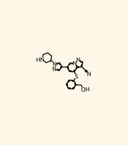 N#Cc1cnn2cc(-c3cnn([C@H]4CCCNC4)c3)cc(Sc3ccccc3CO)c12